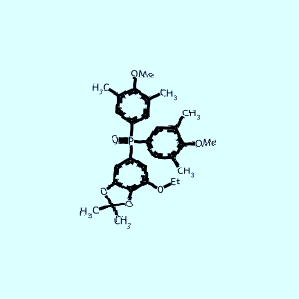 CCOc1cc(P(=O)(c2cc(C)c(OC)c(C)c2)c2cc(C)c(OC)c(C)c2)cc2c1OC(C)(C)O2